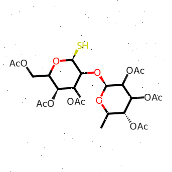 CC(=O)OCC1O[C@@H](S)C(O[C@@H]2OC(C)[C@@H](OC(C)=O)C(OC(C)=O)C2OC(C)=O)C(OC(C)=O)[C@H]1OC(C)=O